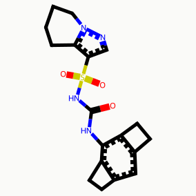 O=C(Nc1c2c(cc3c1CC3)CC2)NS(=O)(=O)c1cnn2c1CCCC2